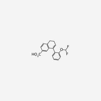 O=C(O)c1ccc2c(c1)C(c1ccccc1OC(F)F)=CCC2